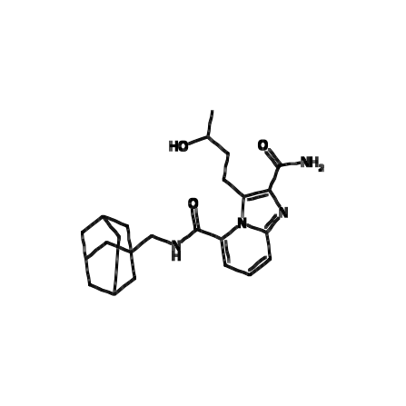 CC(O)CCc1c(C(N)=O)nc2cccc(C(=O)NCC34CC5CC(CC(C5)C3)C4)n12